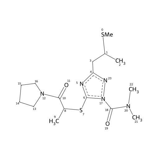 CSC(C)Cc1nc(SC(C)C(=O)N2CCCC2)n(C(=O)N(C)C)n1